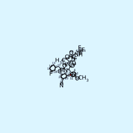 COc1ccc(C(NC(=O)C(Cc2cccc(F)c2)Oc2cc(C#N)cc(C#N)c2)C(=O)NC(C(=O)C(F)(F)C(=O)NCC(F)(F)F)C(C)C)cc1